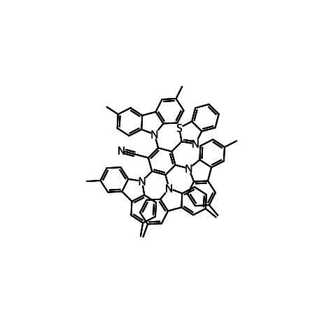 Cc1ccc2c(c1)c1cc(C)ccc1n2-c1c(C#N)c(-n2c3ccc(C)cc3c3cc(C)ccc32)c(-n2c3ccc(C)cc3c3cc(C)ccc32)c(-n2c3ccc(C)cc3c3cc(C)ccc32)c1-c1nc2ccccc2s1